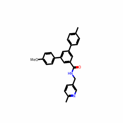 COc1ccc(-c2cc(C(=O)NCc3ccc(C)nc3)cc(-c3ccc(C)cc3)c2)cc1